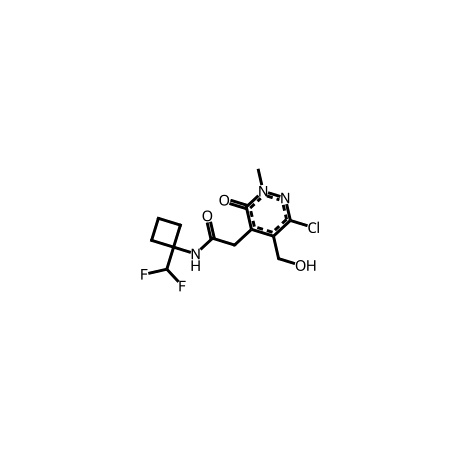 Cn1nc(Cl)c(CO)c(CC(=O)NC2(C(F)F)CCC2)c1=O